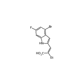 CCC(=Cc1cc2c(Br)cc(F)cc2[nH]1)C(=O)O